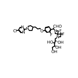 O=CC(c1ccc(OCCCC2CCN(c3ncc(Cl)cn3)CC2)cc1F)N1CC2(C1)N(C[C@H](O)[C@H](O)[C@H](O)CO)CC2(F)F